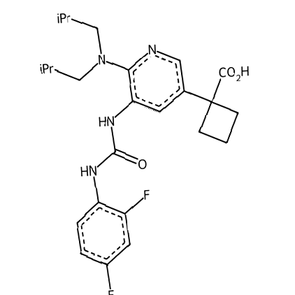 CC(C)CN(CC(C)C)c1ncc(C2(C(=O)O)CCC2)cc1NC(=O)Nc1ccc(F)cc1F